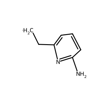 [CH2]Cc1cccc(N)n1